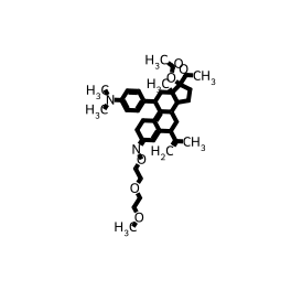 C=C(C)C1CC2C(=C3CC/C(=N/OCCOCCOC)C=C31)C(c1ccc(N(C)C)cc1)CC1(C)C2CCC1(OC(C)=O)C(C)=O